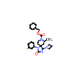 CC1CC2(CCN1C(=O)OCc1ccccc1)C(N1CCC1)=NC(=O)N2c1cccc(F)c1